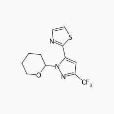 FC(F)(F)c1cc(-c2nccs2)n(C2CCCCO2)n1